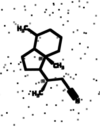 CC1CCC[C@@]2(C)C1CCC2[C@@H](C)CC#N